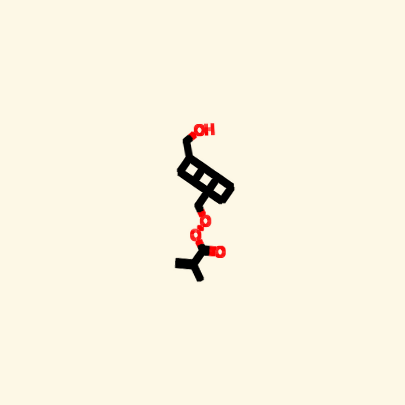 C=C(C)C(=O)OOCC12C3C4C1C1C2C3C41CO